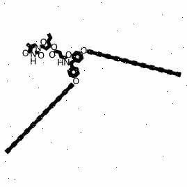 C#CC#CC#CC#CC#CC#CC#CC#CC#CC#CC#COc1ccc(C(NC(=O)CCC(=O)OC2CC(n3cc(C)c(=O)[nH]c3=O)OC2CC)c2ccc(OC#CC#CC#CC#CC#CC#CC#CC#CC#CC#CC#C)cc2)cc1